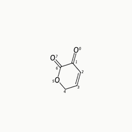 O=C1C=CCOC1=O